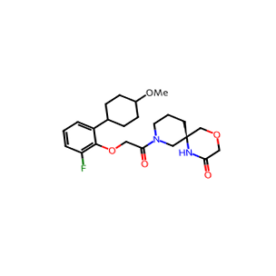 COC1CCC(c2cccc(F)c2OCC(=O)N2CCC[C@]3(COCC(=O)N3)C2)CC1